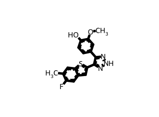 COc1cc(-c2n[nH]nc2-c2cc3cc(F)c(C)cc3s2)ccc1O